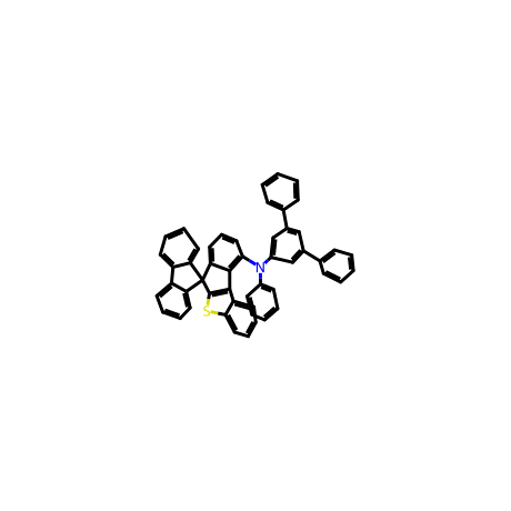 c1ccc(-c2cc(-c3ccccc3)cc(N(c3ccccc3)c3cccc4c3-c3c(sc5ccccc35)C43c4ccccc4-c4ccccc43)c2)cc1